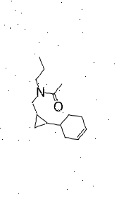 CCCN(CC1CC1C1CC=CCC1)C(C)=O